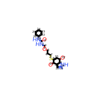 O=C(NCOCCCSC1=CC(=O)c2[nH]ncc2C1=O)Nc1ccccc1